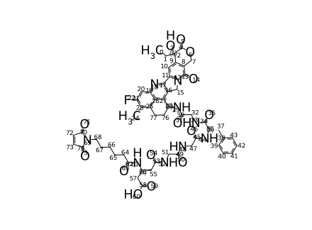 CC[C@@]1(O)C(=O)OCc2c1cc1n(c2=O)Cc2c-1nc1cc(F)c(C)c3c1c2[C@@H](NC(=O)CNC(=O)[C@H](Cc1ccccc1)NC(=O)CNC(=O)CNC(=O)C[C@@H](CC(=O)O)NC(=O)CCCCCN1C(=O)C=CC1=O)CC3